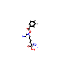 N=CCN(CCCC[C@H](N)C(=O)O)OC(=O)c1ccccc1